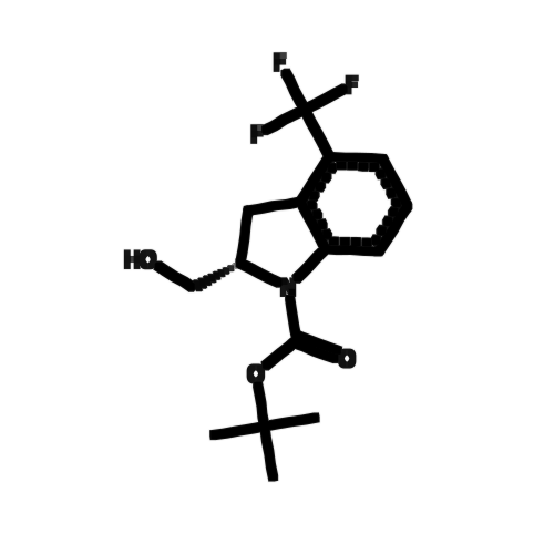 CC(C)(C)OC(=O)N1c2cccc(C(F)(F)F)c2C[C@H]1CO